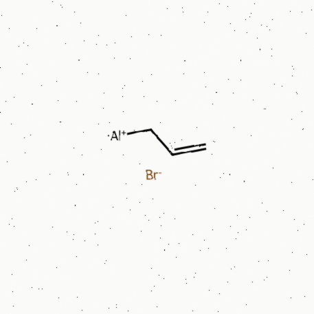 C=C[CH2][Al+].[Br-]